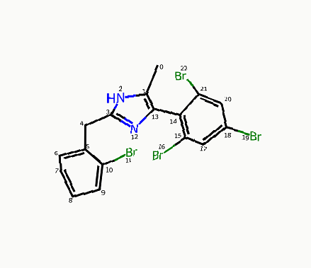 Cc1[nH]c(Cc2ccccc2Br)nc1-c1c(Br)cc(Br)cc1Br